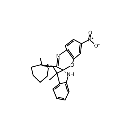 CCCC1(C)c2ccccc2N[C@]12Oc1cc([N+](=O)[O-])ccc1N=C2N1CCCCC1